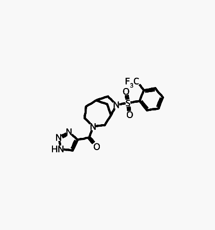 O=C(c1c[nH]nn1)N1CCC2CC(C1)N(S(=O)(=O)c1ccccc1C(F)(F)F)C2